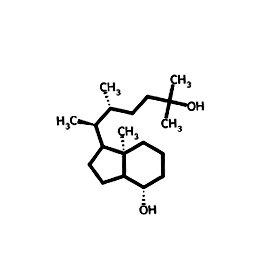 C[C@H](CCC(C)(C)O)[C@H](C)C1CCC2[C@@H](O)CCC[C@]12C